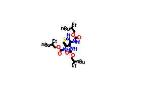 CCCCC(CC)COC(=O)NC1=CSNC(NC(=O)OCC(CC)CCCC)=C1NC(=O)OCC(CC)CCCC